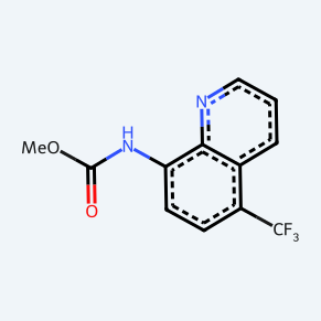 COC(=O)Nc1ccc(C(F)(F)F)c2cccnc12